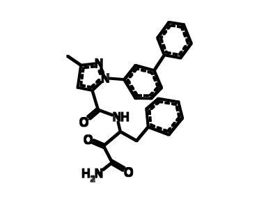 Cc1cc(C(=O)NC(Cc2ccccc2)C(=O)C(N)=O)n(-c2cccc(-c3ccccc3)c2)n1